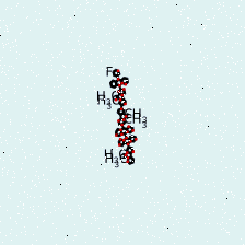 CC1(C)c2cc(-c3ccc4c(c3)C(C)(C)c3cc(-c5c6ccccc6c(-c6c7ccccc7c(-c7ccc8c(c7)C(C)(C)c7ccccc7-8)c7ccccc67)c6ccccc56)ccc3-4)ccc2-c2ccc(-c3c4ccccc4c(-c4cccc(F)c4)c4ccccc34)cc21